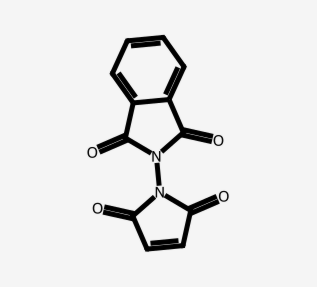 O=C1C=CC(=O)N1N1C(=O)c2ccccc2C1=O